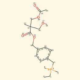 CC[PH](C)(C)Cc1ccc(COC(=O)C(C)(COC)COC(C)=O)cc1